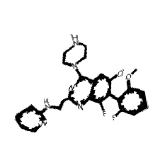 COc1cccc(F)c1-c1c(Cl)cc2c(N3CCNCC3)nc(CNc3ccccn3)nc2c1F